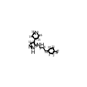 Fc1ccc(CCCNc2[nH]ncc2-c2ccncc2)cc1